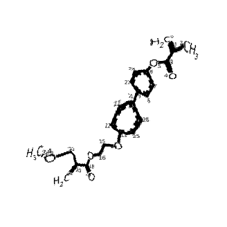 C=C(C)C(=O)Oc1ccc(-c2ccc(OCCOC(=O)C(=C)COC)cc2)cc1